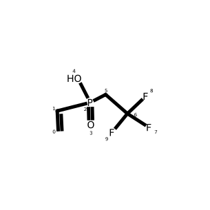 C=CP(=O)(O)CC(F)(F)F